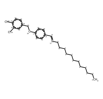 CCCCCCCCCCCCN=Cc1ccc(OCc2ccc(Cl)c(Cl)c2)cc1